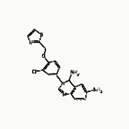 Nc1ccc2c(c1)C(N)N(c1ccc(OCc3nccs3)c(Cl)c1)C=N2